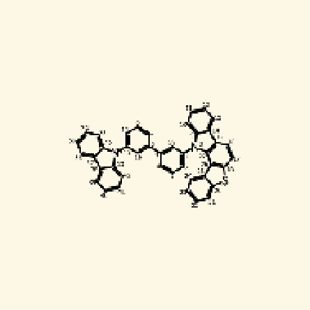 c1cc(-c2cccc(-n3c4ccccc4c4ccc5sc6ccccc6c5c43)c2)cc(-n2c3ccccc3c3ccccc32)c1